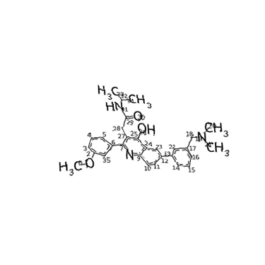 COc1cccc(-c2nc3ccc(-c4cccc(CN(C)C)c4)cc3c(O)c2CC(=O)NC(C)C)c1